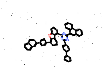 c1ccc(-c2ccc(-c3nc(-c4cc5ccccc5c5ccccc45)nc(-c4cccc5oc6c(-c7ccc(-c8ccc9ccccc9c8)cc7)cccc6c45)n3)cc2)cc1